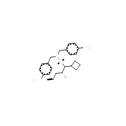 C=CC[C@H](C)C(C1CCC1)S(=O)(=O)N(Cc1ccc(OC)cc1)Cc1ccc(OC)cc1